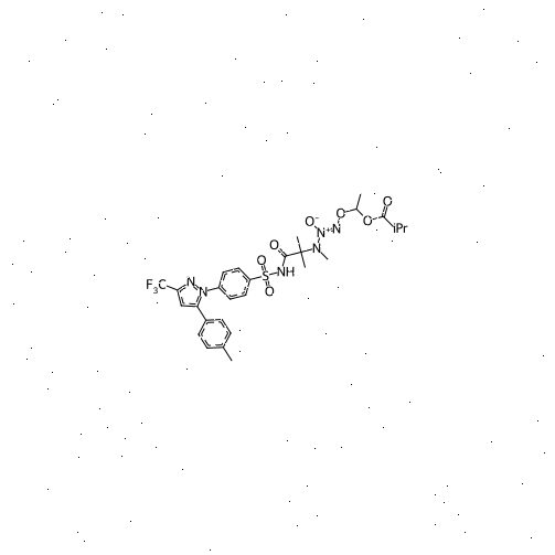 Cc1ccc(-c2cc(C(F)(F)F)nn2-c2ccc(S(=O)(=O)NC(=O)C(C)(C)N(C)[N+]([O-])=NOC(C)OC(=O)C(C)C)cc2)cc1